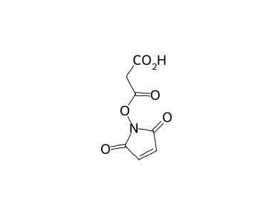 O=C(O)CC(=O)ON1C(=O)C=CC1=O